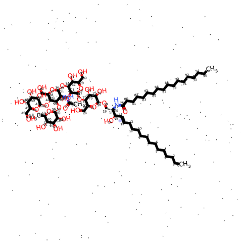 CCCCCCCCCCCCC/C=C/[C@@H](O)[C@H](CO[C@@H]1OC(CO)[C@@H](O[C@@H]2OC(CO)[C@H](O)[C@H](O[C@@H]3OC(CO)[C@@H](O[C@@H]4OC(CO)[C@H](O)[C@H](O)C4O)[C@H](O[C@H]4OC(C)[C@@H](O)C(O)[C@@H]4O)C3NC(C)=O)C2O)[C@H](O)C1O)NC(=O)CCCCCCCCCCCCCCCCC